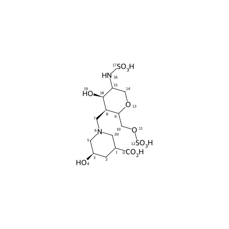 O=C(O)C1C[C@@H](O)CN(C[C@@H]2C(COS(=O)(=O)O)OCC(NS(=O)(=O)O)[C@@H]2O)C1